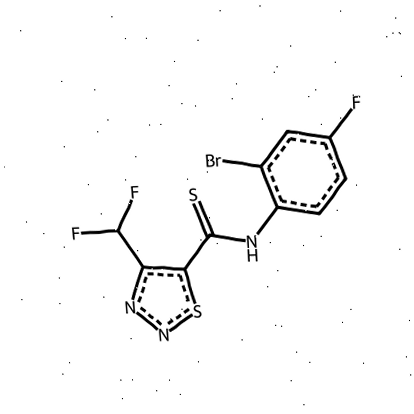 Fc1ccc(NC(=S)c2snnc2C(F)F)c(Br)c1